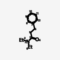 CCN(CC)C(=O)CCc1ccccc1